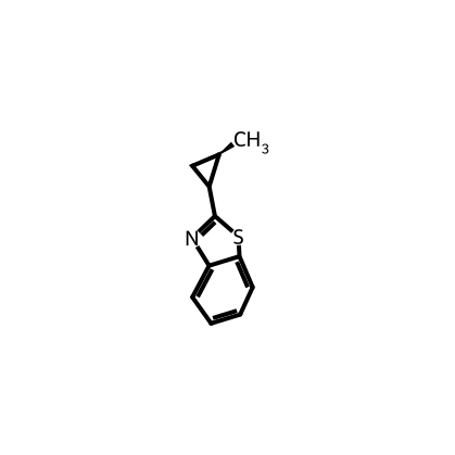 C[C@@H]1CC1c1nc2ccccc2s1